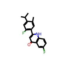 Cc1cc(-c2cc(=O)c3cc(F)ccc3[nH]2)c(F)cc1C(C)C